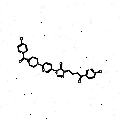 O=C(CCCn1ncn(-c2ccc(N3CCN(C(=O)c4ccc(Cl)cc4)CC3)nc2)c1=O)c1ccc(Cl)cc1